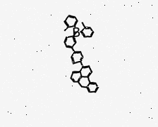 Cc1ccccc1B(c1cccc(-c2ccc(-c3ccc4c5c(cccc35)Cc3ccccc3-4)cc2)c1)c1ccccc1C